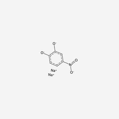 O=[N+]([O-])c1ccc([O-])c([O-])c1.[Na+].[Na+]